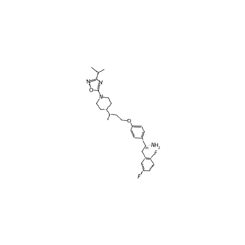 CC(C)c1noc(N2CCC(C(C)CCOc3ccc([C@H](N)Cc4cc(F)ccc4F)cc3)CC2)n1